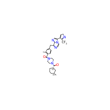 Cc1cc(Cc2nccn3c(C4=CCN=C4C(F)(F)F)cnc23)ccc1C(=O)N1CCN(C(=O)[C@H]2CCC[C@H](C)C2)CC1